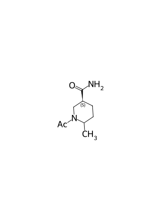 CC(=O)N1C[C@@H](C(N)=O)CCC1C